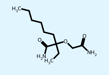 CCCCCCC(CC)(OCC(N)=O)C(N)=O